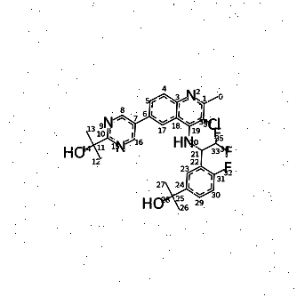 Cc1nc2ccc(-c3cnc(C(C)(C)O)nc3)cc2c(NC(c2cc(C(C)(C)O)ccc2F)C(F)F)c1Cl